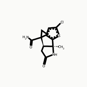 C[C@]1(c2ccc(Cl)s2)NC(=O)C[C@H]1C1(C(N)=O)CC1